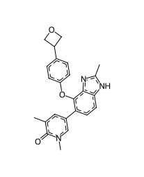 Cc1nc2c(Oc3ccc(C4COC4)cc3)c(-c3cc(C)c(=O)n(C)c3)ccc2[nH]1